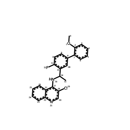 COc1ccccc1-c1ccc(F)c(C(C)Nc2c(Cl)cnc3ccccc23)c1